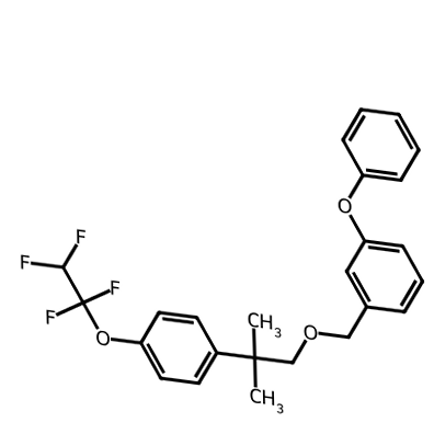 CC(C)(COCc1cccc(Oc2ccccc2)c1)c1ccc(OC(F)(F)C(F)F)cc1